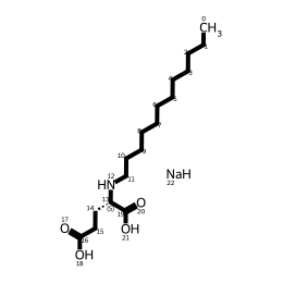 CCCCCCCCCCCCN[C@@H](CCC(=O)O)C(=O)O.[NaH]